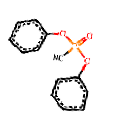 N#CP(=O)(Oc1ccccc1)Oc1ccccc1